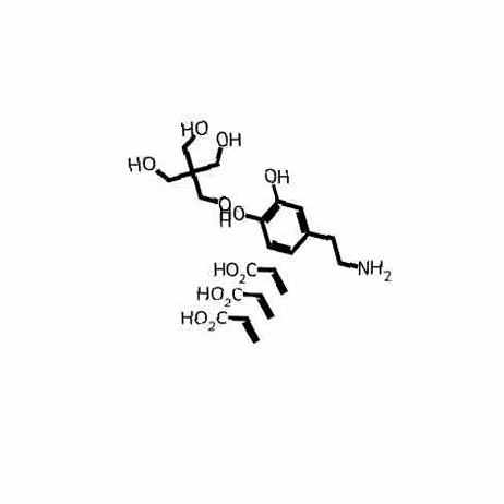 C=CC(=O)O.C=CC(=O)O.C=CC(=O)O.NCCc1ccc(O)c(O)c1.OCC(CO)(CO)CO